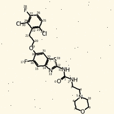 O=C(NCCN1CCOCC1)Nc1nc2cc(F)c(OCCc3c(Cl)ccc(F)c3Cl)cc2s1